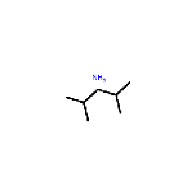 CC(C)CC(C)C.N